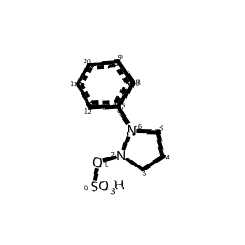 O=S(=O)(O)ON1CCCN1c1ccccc1